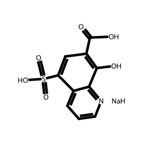 O=C(O)c1cc(S(=O)(=O)O)c2cccnc2c1O.[NaH]